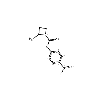 NC1CCN1C(=O)Oc1ccc([N+](=O)[O-])nc1